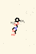 Cc1cccc(C)c1OC(=O)CN1CCOC(CO)C1